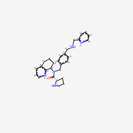 O=C([C@@H]1CCCN1)N(Cc1ccc(CNCc2ccccn2)cc1)C1CCCc2cccnc21